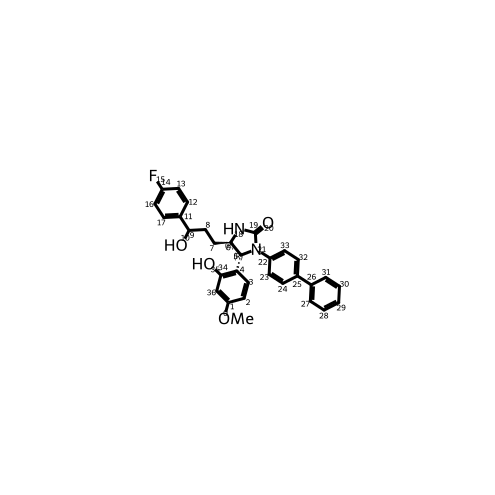 COc1ccc([C@@H]2[C@@H](CCC(O)c3ccc(F)cc3)NC(=O)N2c2ccc(-c3ccccc3)cc2)c(O)c1